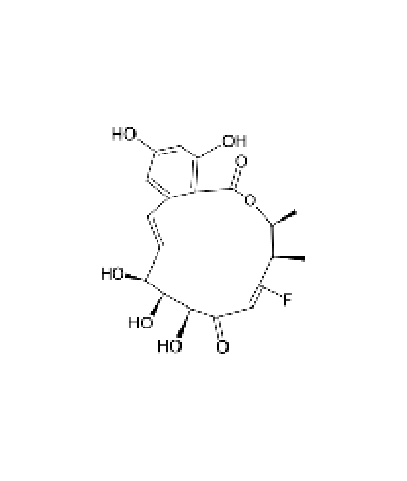 C[C@@H]1OC(=O)c2c(O)cc(O)cc2/C=C/[C@H](O)[C@H](O)[C@H](O)C(=O)/C=C(/F)[C@@H]1C